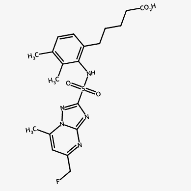 Cc1ccc(CCCCC(=O)O)c(NS(=O)(=O)c2nc3nc(CF)cc(C)n3n2)c1C